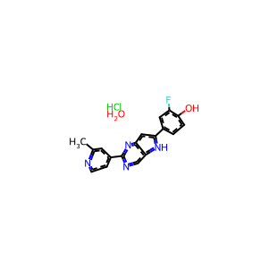 Cc1cc(-c2ncc3[nH]c(-c4ccc(O)c(F)c4)cc3n2)ccn1.Cl.O